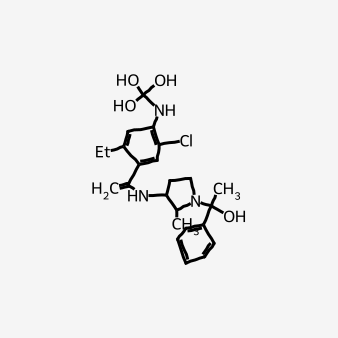 C=C(NC1CCN(C(C)(O)c2ccccc2)C1C)c1cc(Cl)c(NC(O)(O)O)cc1CC